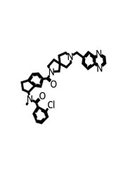 CN(C(=O)c1ccccc1Cl)C1CCc2ccc(C(=O)N3CCC4(CCN(Cc5ccc6nccnc6c5)CC4)C3)cc21